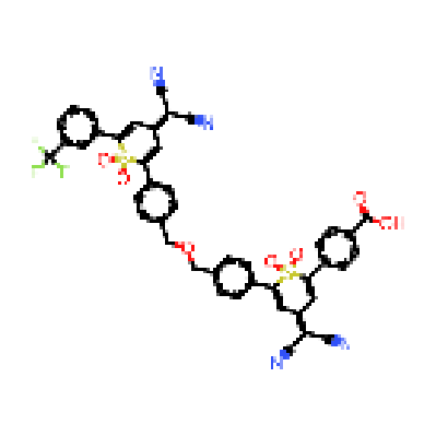 N#CC(C#N)=C1C=C(c2ccc(COCc3ccc(C4=CC(=C(C#N)C#N)C=C(c5cccc(C(F)(F)F)c5)S4(=O)=O)cc3)cc2)S(=O)(=O)C(c2ccc(C(=O)O)cc2)=C1